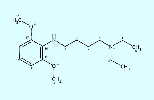 CCN(CC)CCCCNc1c(OC)[c]ccc1OC